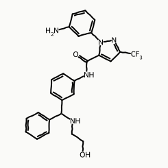 Nc1cccc(-n2nc(C(F)(F)F)cc2C(=O)Nc2cccc(C(NCCO)c3ccccc3)c2)c1